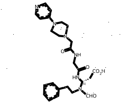 O=CN(CCc1ccccc1)[C@@H](CC(=O)O)NC(=O)CNC(=O)CN1CCN(c2ccncc2)CC1